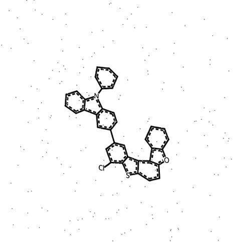 Clc1cc(-c2ccc3c(c2)c2ccccc2n3-c2ccccc2)cc2c1sc1ccc3oc4ccccc4c3c12